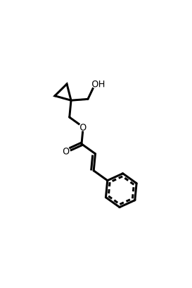 O=C(C=Cc1ccccc1)OCC1(CO)CC1